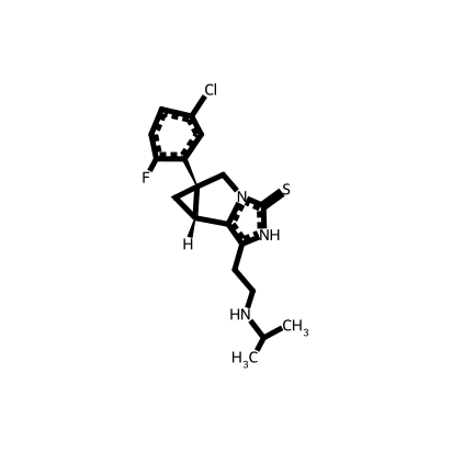 CC(C)NCCc1[nH]c(=S)n2c1[C@@H]1C[C@]1(c1cc(Cl)ccc1F)C2